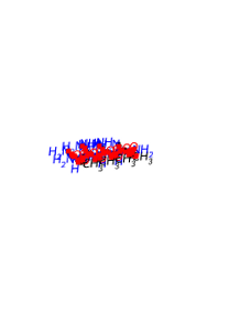 COc1ccc(NC(=O)[C@@H](CCCN)NC(=O)c2cc(NC(=O)[C@@H](CCCNC(=N)N)NC(=O)c3cc(NC(=O)[C@@H](CCCNC(=N)N)NC(=O)c4cc(NC(=O)C(N)CCCN)ccc4OC)ccc3OC)ccc2OC)cc1C(N)=O